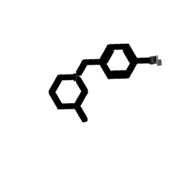 CC1CCCN(Cc2ccc(C(F)(F)F)cc2)C1